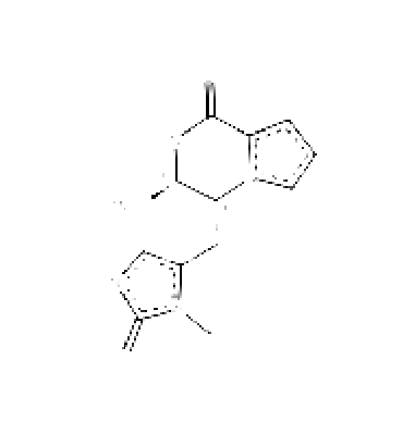 CO[C@H]1NC(=O)c2cccn2[C@@H]1Cc1c[nH]c(=O)n1C